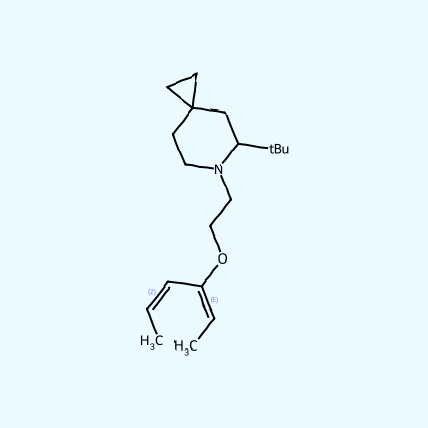 C/C=C\C(=C/C)OCCN1CCC2(CC2)CC1C(C)(C)C